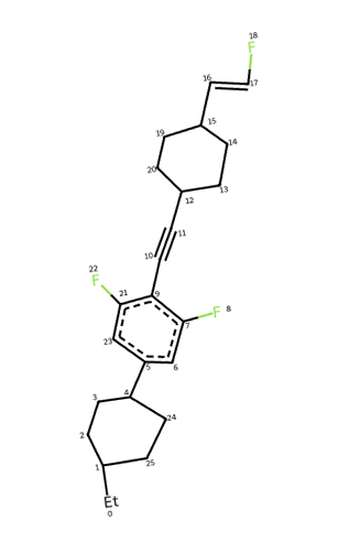 CCC1CCC(c2cc(F)c(C#CC3CCC(C=CF)CC3)c(F)c2)CC1